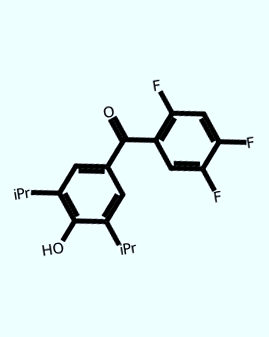 CC(C)c1cc(C(=O)c2cc(F)c(F)cc2F)cc(C(C)C)c1O